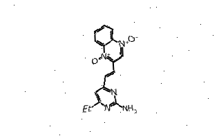 CCc1cc(C=Cc2c[n+]([O-])c3ccccc3[n+]2[O-])nc(N)n1